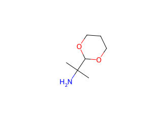 CC(C)(N)C1OCCCO1